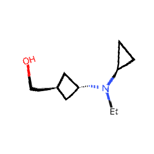 CCN(C1CC1)[C@H]1C[C@H](CO)C1